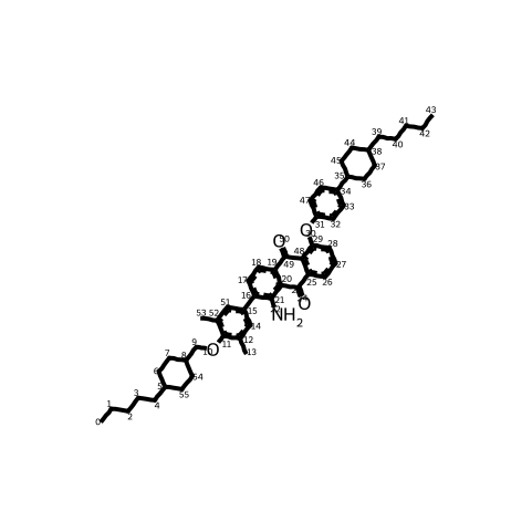 CCCCCC1CCC(COc2c(C)cc(-c3ccc4c(c3N)C(=O)c3cccc(Oc5ccc(C6CCC(CCCCC)CC6)cc5)c3C4=O)cc2C)CC1